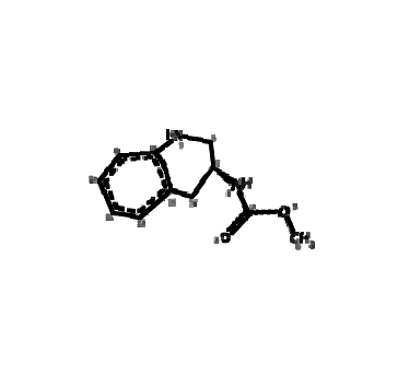 COC(=O)N[C@@H]1CNc2ccccc2C1